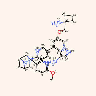 COc1ccc(CN2C3CC2CN(c2ccc(-c4cc(OCC5(N)CCC5)cn5ncc(N)c45)cn2)C3)cn1